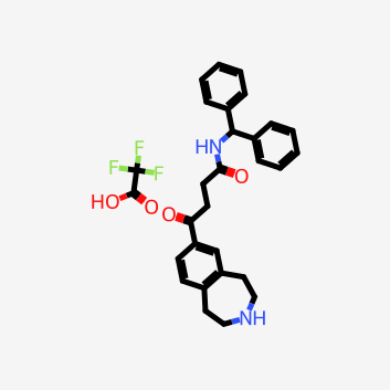 O=C(CCC(=O)c1ccc2c(c1)CCNCC2)NC(c1ccccc1)c1ccccc1.O=C(O)C(F)(F)F